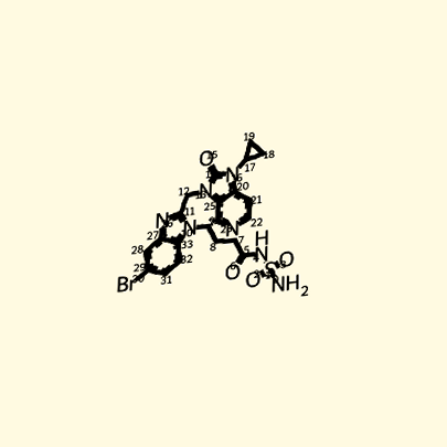 NS(=O)(=O)NC(=O)CCCn1c(Cn2c(=O)n(C3CC3)c3ccncc32)nc2cc(Br)ccc21